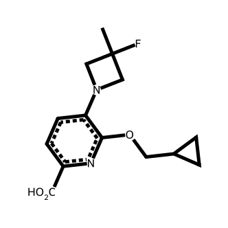 CC1(F)CN(c2ccc(C(=O)O)nc2OCC2CC2)C1